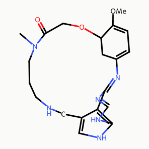 COC1=CC=C2CC1OCC(=O)N(C)CCCNCc1c[nH]c3c1/C(=N/2)N=CN3